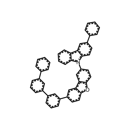 c1ccc(-c2cccc(-c3cccc(-c4ccc5oc6ccc(-n7c8ccccc8c8cc(-c9ccccc9)ccc87)cc6c5c4)c3)c2)cc1